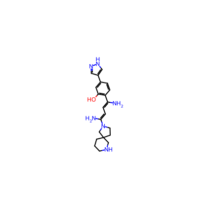 N/C(=C\C=C(/N)N1CCC2(CCCNC2)C1)c1ccc(-c2cn[nH]c2)cc1O